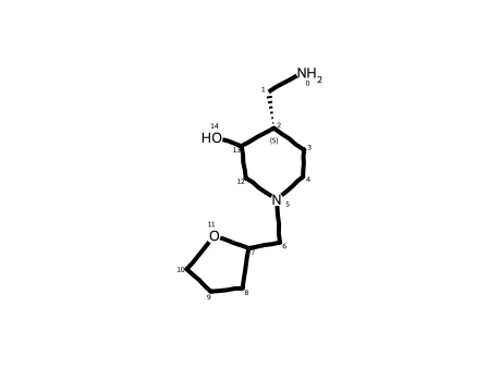 NC[C@@H]1CCN(CC2CCCO2)CC1O